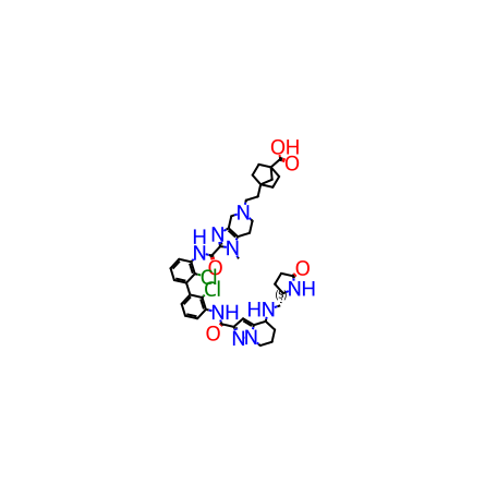 Cn1c(C(=O)Nc2cccc(-c3cccc(NC(=O)c4cc5n(n4)CCCC5NC[C@@H]4CCC(=O)N4)c3Cl)c2Cl)nc2c1CCN(CCC13CCC(C(=O)O)(CC1)C3)C2